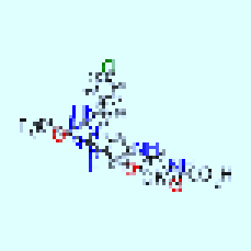 COC(=O)C(CCNC(=O)C(=O)O)Nc1ccc(Nc2nc(NC3(c4ccc(Cl)cc4)CC3)nc(OCC(F)(F)F)n2)cc1